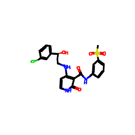 CS(=O)(=O)c1cccc(NC(=O)c2c(NC[C@@H](O)c3cccc(Cl)c3)cc[nH]c2=O)c1